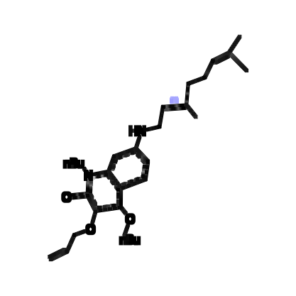 C=CCOc1c(OCCCC)c2ccc(NC/C=C(\C)CCC=C(C)C)cc2n(CCCC)c1=O